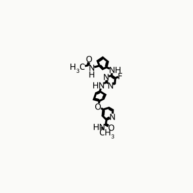 CNC(=O)c1cc(Oc2ccc(Nc3ncc(F)c(Nc4cccc(NC(C)=O)c4)n3)cc2)ccn1